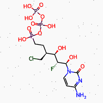 Nc1ccn([C@H](O)[C@H](F)[C@H](O)[C@@H](CCl)CCP(=O)(O)OP(=O)(O)OP(=O)(O)O)c(=O)n1